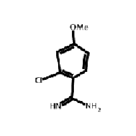 COc1ccc(C(=N)N)c(Cl)c1